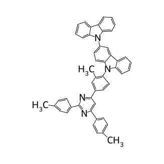 Cc1ccc(-c2cc(-c3ccc(-n4c5ccccc5c5cc(-n6c7ccccc7c7ccccc76)ccc54)c(C)c3)nc(-c3ccc(C)cc3)n2)cc1